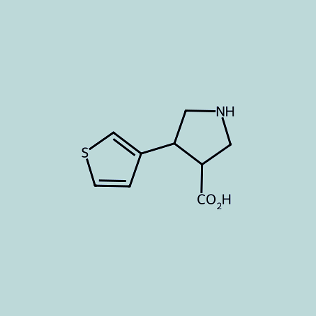 O=C(O)C1CNCC1c1ccsc1